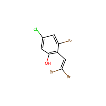 Oc1cc(Cl)cc(Br)c1C=C(Br)Br